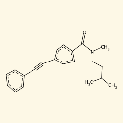 CC(C)CCN(C)C(=O)c1ccc(C#Cc2ccccc2)cc1